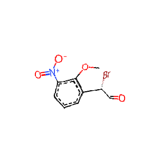 COc1c([C@H](Br)C=O)cccc1[N+](=O)[O-]